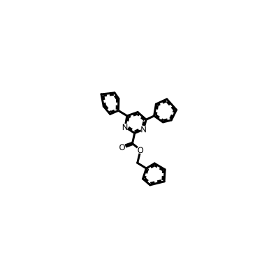 O=C(OCc1ccccc1)c1nc(-c2ccccc2)cc(-c2ccccc2)n1